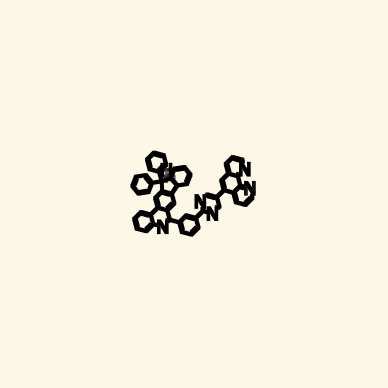 C1=CC2c3cc4c(-c5cccc(-c6ncc(-c7cc8cccnc8c8ncccc78)cn6)c5)nc5ccccc5c4cc3C(c3ccccc3)(c3ccccc3)[C@H]2C=C1